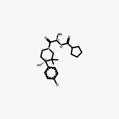 CCCC[C@@H](NC(=O)C1CCCC1)C(=O)N1CC[C@](O)(c2ccc(Cl)cc2)C(C)(C)C1